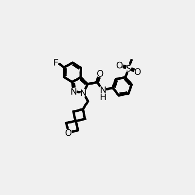 CS(=O)(=O)c1cccc(NC(=O)c2c3ccc(F)cc3nn2CC2CC3(COC3)C2)c1